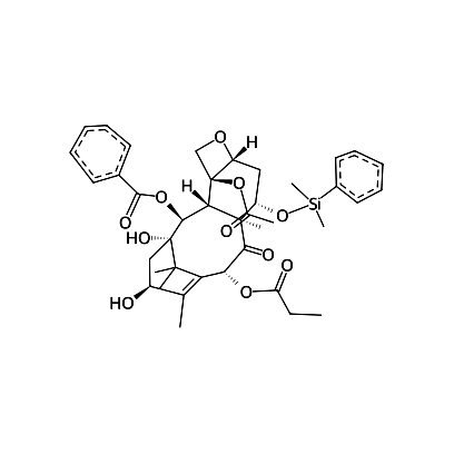 CCC(=O)O[C@H]1C(=O)[C@]2(C)[C@@H](O[Si](C)(C)c3ccccc3)C[C@H]3OC[C@@]3(OC(C)=O)[C@H]2[C@H](OC(=O)c2ccccc2)[C@]2(O)C[C@H](O)C(C)=C1C2(C)C